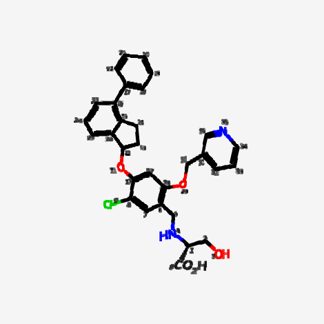 O=C(O)[C@H](CO)NCc1cc(Cl)c(OC2CCc3c(-c4ccccc4)cccc32)cc1OCc1cccnc1